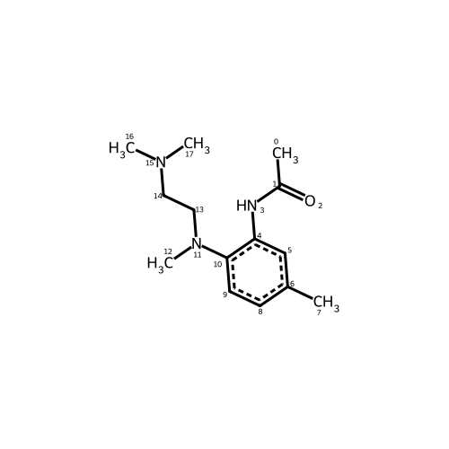 CC(=O)Nc1cc(C)ccc1N(C)CCN(C)C